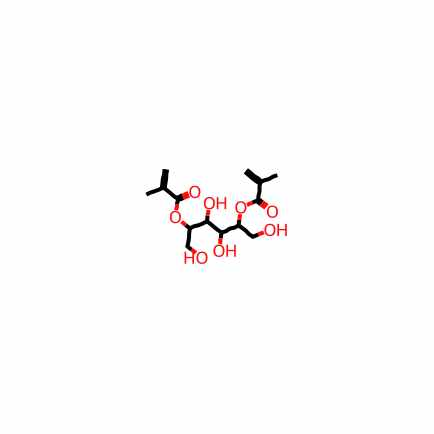 C=C(C)C(=O)OC(CO)C(O)C(O)C(CO)OC(=O)C(=C)C